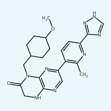 COC1CCC(CN2C(=O)CNc3ncc(-c4ccc(-c5nc[nH]n5)nc4C)nc32)CC1